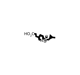 CC1CC1CS(=O)(=O)c1ccc(CCC(=O)O)cn1